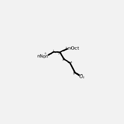 CCCCCCCCCCC(CCC[O])CCCCCCCC